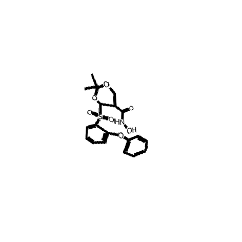 CC1(C)OCC(C(=O)NO)C(S(=O)(=O)c2ccccc2Oc2ccccc2)O1